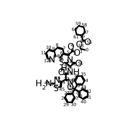 CC(OC(=O)C1=C(/C=C\c2cccnc2)CS[C@H]2[C@H](NC(=O)C(=NOC(c3ccccc3)(c3ccccc3)c3ccccc3)c3csc(N)n3)C(=O)N12)OC(=O)C1CCCCC1